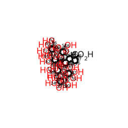 C=C1C[C@@]23C[C@]1(O[C@@H]1O[C@H](CO)[C@@H](O)[C@H](O[C@@H]4O[C@H](CO)[C@@H](O)[C@H](O)[C@H]4O)[C@H]1O[C@@H]1O[C@H](CO)[C@@H](O)[C@H](O)[C@H]1O)CCC2[C@]1(C)CCC[C@@](C)(C(=O)O)[C@H]1C[C@@H]3C1O[C@H](CO)[C@@H](O)C(O[C@@H]2O[C@H](CO)[C@@H](O)[C@H](O)[C@H]2O)[C@@H]1O[C@@H]1O[C@H](CO)[C@@H](O)[C@H](O)[C@H]1O